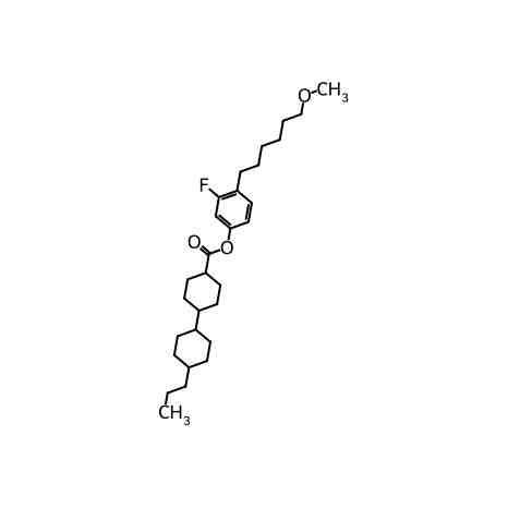 CCCC1CCC(C2CCC(C(=O)Oc3ccc(CCCCCCOC)c(F)c3)CC2)CC1